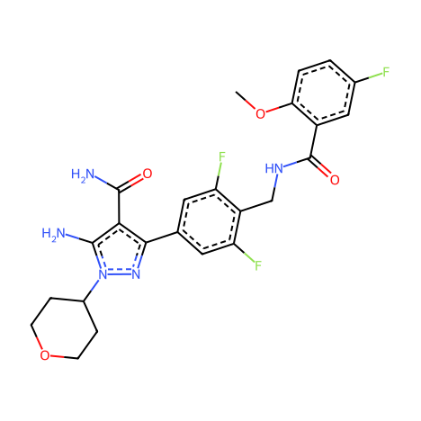 COc1ccc(F)cc1C(=O)NCc1c(F)cc(-c2nn(C3CCOCC3)c(N)c2C(N)=O)cc1F